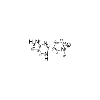 Cn1cc(C2=NC(N)=C(F)CN2)ccc1=O